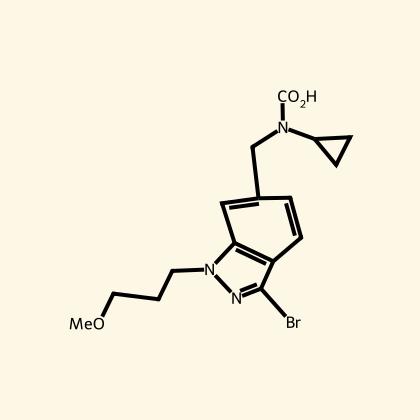 COCCCn1nc(Br)c2ccc(CN(C(=O)O)C3CC3)cc21